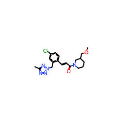 COCC1CCCN(C(=O)C=Cc2ccc(Cl)cc2Cn2nnc(C)n2)C1